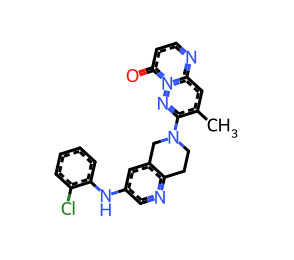 Cc1cc2nccc(=O)n2nc1N1CCc2ncc(Nc3ccccc3Cl)cc2C1